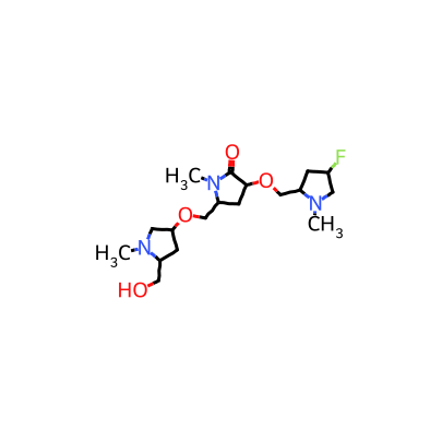 CN1CC(F)CC1COC1CC(COC2CC(CO)N(C)C2)N(C)C1=O